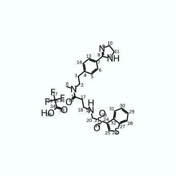 CN(CCc1ccc(C2=NCCN2)cc1)C(=O)CCNCS(=O)(=O)c1csc2ccccc12.O=C(O)C(F)(F)F